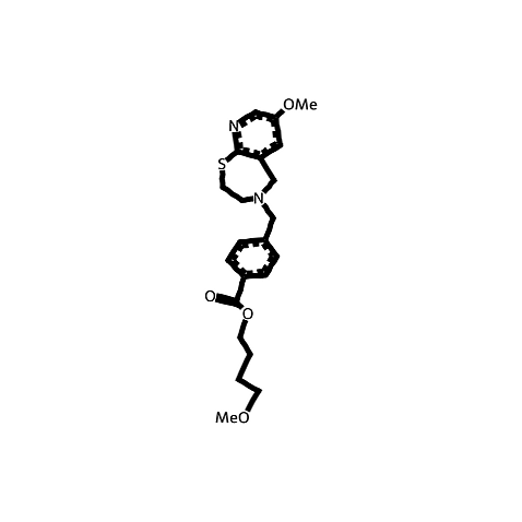 COCCCCOC(=O)c1ccc(CN2CCSc3ncc(OC)cc3C2)cc1